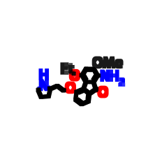 CCOc1cc(OC)c(N)c2c1-c1c(OCCC3CCCN3)cccc1C2=O